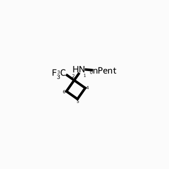 CCCCCNC1(C(F)(F)F)CCC1